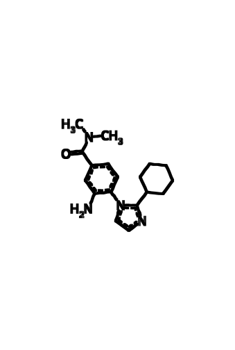 CN(C)C(=O)c1ccc(-n2ccnc2C2CCCCC2)c(N)c1